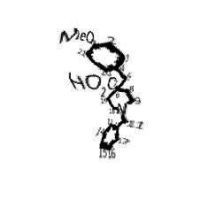 COc1ccc(CC2(C(=O)O)CCN(Cc3ccccc3)CC2)cc1